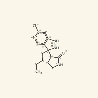 CCCCC1(N2CCNC2=O)NNc2cc(Cl)ncc21